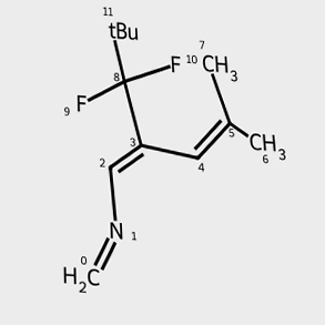 C=N/C=C(\C=C(C)C)C(F)(F)C(C)(C)C